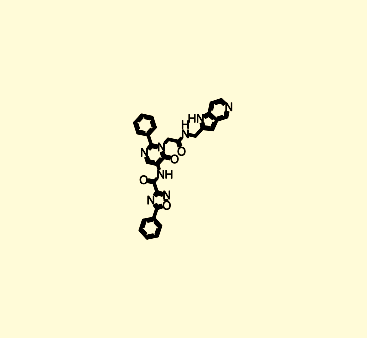 O=C(Cn1c(-c2ccccc2)ncc(NC(=O)c2noc(-c3ccccc3)n2)c1=O)NCc1cc2cnccc2[nH]1